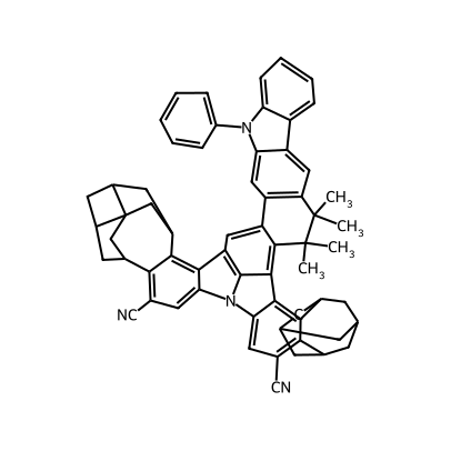 CC1(C)c2cc3c4ccccc4n(-c4ccccc4)c3cc2-c2cc3c4c5c(c(C#N)cc4n4c6cc(C#N)c7c(c6c(c2C1(C)C)c34)C1CC2CC(CC7C2)C1)C1CC2CC3CC5CC23C1